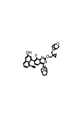 C#Cc1cccc2cc(O)cc(-c3ccc4c(N5CC6CCC(C5)N6)nc(OCC5(CN6CC7CC6CO7)CC5)nc4c3F)c12